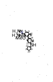 COc1c(/C(=N/N)NN)ccc(F)c1-c1ccc(NC2CCCC2)nc1